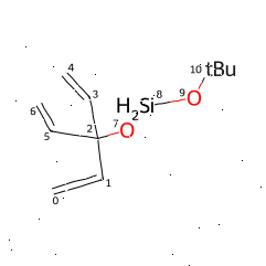 C=CC(C=C)(C=C)O[SiH2]OC(C)(C)C